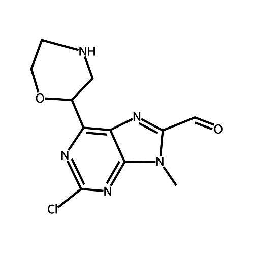 Cn1c(C=O)nc2c(C3CNCCO3)nc(Cl)nc21